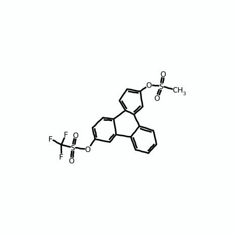 CS(=O)(=O)Oc1ccc2c3ccc(OS(=O)(=O)C(F)(F)F)cc3c3ccccc3c2c1